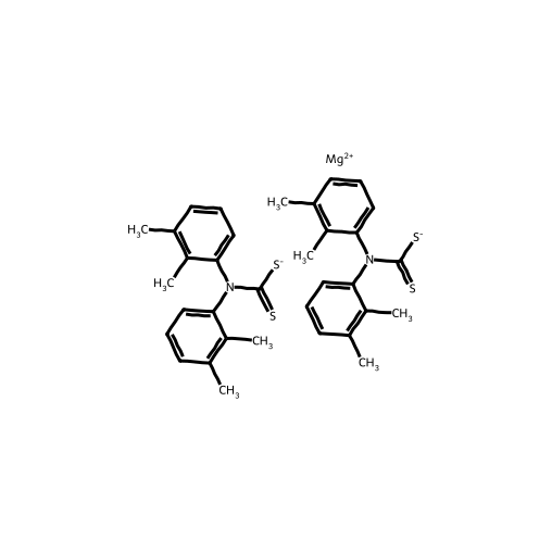 Cc1cccc(N(C(=S)[S-])c2cccc(C)c2C)c1C.Cc1cccc(N(C(=S)[S-])c2cccc(C)c2C)c1C.[Mg+2]